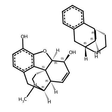 CN1CC[C@]23c4c5ccc(O)c4O[C@H]2[C@@H](O)C=C[C@H]3[C@H]1C5.c1ccc2c(c1)C[C@H]1NCC[C@@]23CCCC[C@@H]13